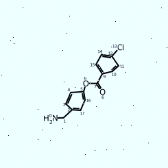 NCc1ccc(OC(=O)c2ccc(Cl)cc2)cc1